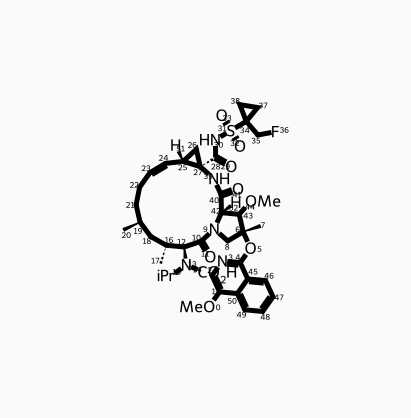 COc1cnc(O[C@]2(C)CN3C(=O)[C@@H](N(C(=O)O)C(C)C)[C@H](C)C[C@@H](C)CC/C=C\[C@@H]4C[C@@]4(C(=O)NS(=O)(=O)C4(CF)CC4)NC(=O)[C@@H]3C2OC)c2ccccc12